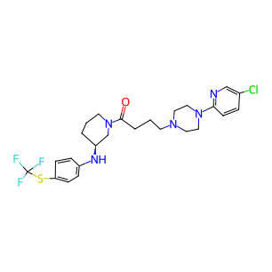 O=C(CCCN1CCN(c2ccc(Cl)cn2)CC1)N1CCC[C@H](Nc2ccc(SC(F)(F)F)cc2)C1